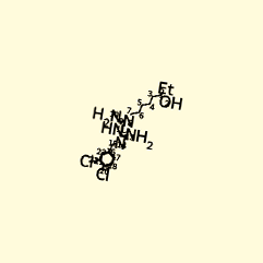 CCC(O)CCCCCN=C(N)NC(N)=NCc1ccc(Cl)c(Cl)c1